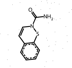 NC(=O)N1C=Cc2ccccc2S1